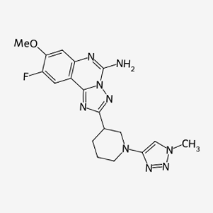 COc1cc2nc(N)n3nc(C4CCCN(c5cn(C)nn5)C4)nc3c2cc1F